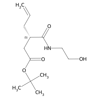 C=CC[C@@H](CC(=O)OC(C)(C)C)C(=O)NCCO